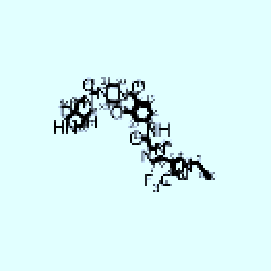 C#CCn1cc(-c2cnc(C(=O)Nc3ccc(C(=O)N4CCN(C(=O)N5C[C@@H]6CNC[C@H]6C5)CC4)c(Cl)c3)n2C)c(C(F)(F)F)n1